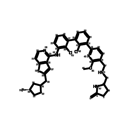 C=C1CCC(CNCc2ccc(-c3cccc(-c4cccc(Nc5nccc6sc(CC7CC[C@H](F)C7)cc56)c4Cl)c3Cl)nc2OC)N1